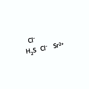 S.[Cl-].[Cl-].[Sr+2]